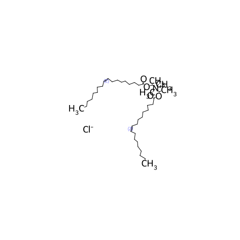 CCCCCCCC/C=C\CCCCCCCC(=O)OC(C)[N+](C)(C)C(C)OC(=O)CCCCCCC/C=C\CCCCCCCC.[Cl-]